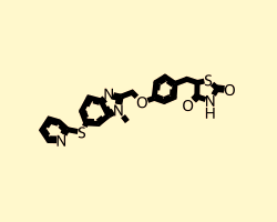 Cn1c(COc2ccc(CC3SC(=O)NC3=O)cc2)nc2ccc(Sc3ccccn3)cc21